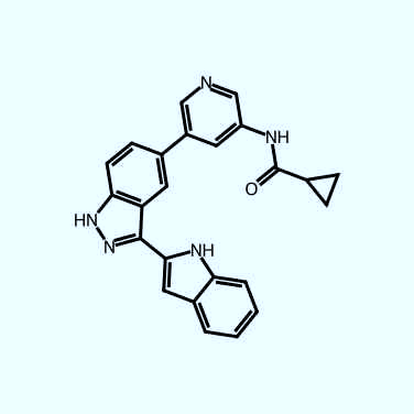 O=C(Nc1cncc(-c2ccc3[nH]nc(-c4cc5ccccc5[nH]4)c3c2)c1)C1CC1